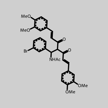 COc1ccc(C=CC(=O)C(C(=O)C=Cc2ccc(OC)c(OC)c2)C(NC(C)=O)c2cccc(Br)c2)cc1OC